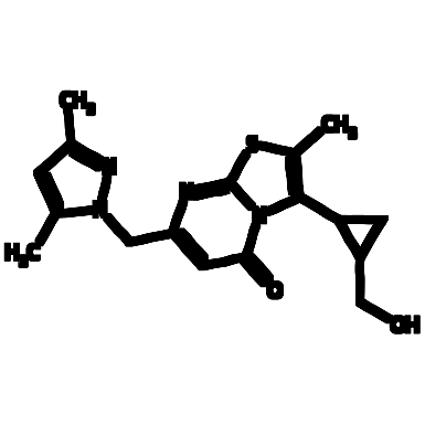 Cc1cc(C)n(Cc2cc(=O)n3c(C4CC4CO)c(C)sc3n2)n1